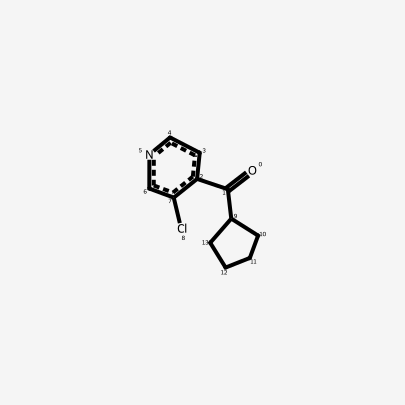 O=C(c1ccncc1Cl)C1CCCC1